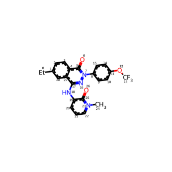 CCc1ccc2c(=O)n(-c3ccc(OC(F)(F)F)cc3)nc(Nc3cccn(C)c3=O)c2c1